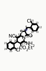 CCOC(=O)C1=C(N)n2c(s/c(=C/c3ccccc3Cl)c2=O)=C(C#N)C1c1ccccc1Cl